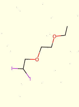 CCOCCOCC(I)I